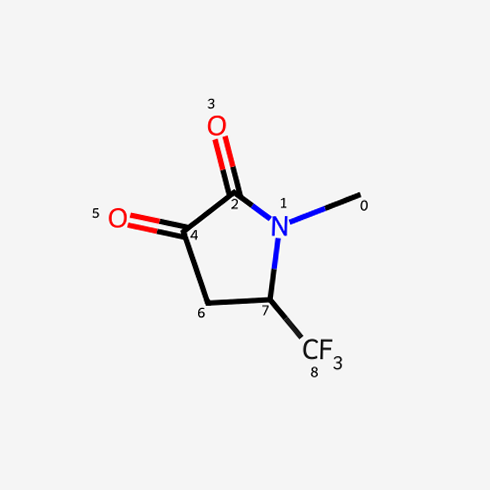 CN1C(=O)C(=O)CC1C(F)(F)F